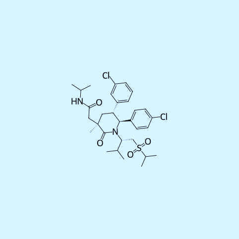 CC(C)NC(=O)C[C@@]1(C)C[C@H](c2cccc(Cl)c2)[C@@H](c2ccc(Cl)cc2)N([C@H](CS(=O)(=O)C(C)C)C(C)C)C1=O